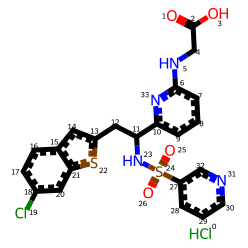 Cl.O=C(O)CNc1cccc(C(Cc2cc3ccc(Cl)cc3s2)NS(=O)(=O)c2cccnc2)n1